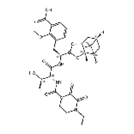 CCN1CCN(C(=O)N[C@@H](C(=O)N[C@@H](Cc2cccc(C(=O)O)c2OC)B2OC3C[C@@H]4C[C@@H](C4(C)C)[C@]3(C)O2)[C@@H](C)O)C(=O)C1=O